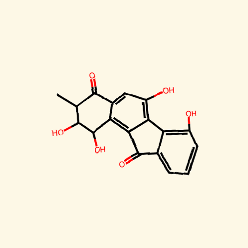 CC1C(=O)c2cc(O)c3c(c2C(O)C1O)C(=O)c1cccc(O)c1-3